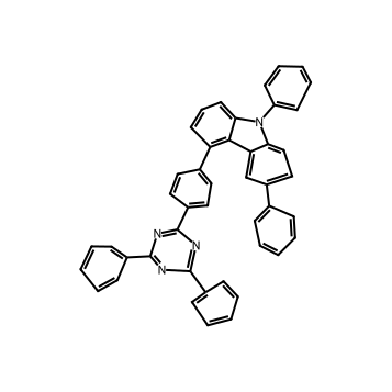 c1ccc(-c2ccc3c(c2)c2c(-c4ccc(-c5nc(-c6ccccc6)nc(-c6ccccc6)n5)cc4)cccc2n3-c2ccccc2)cc1